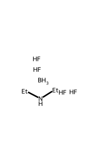 B.CCNCC.F.F.F.F